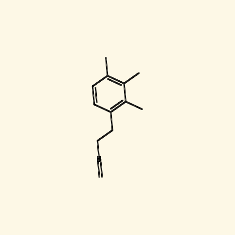 C=BCCc1ccc(C)c(C)c1C